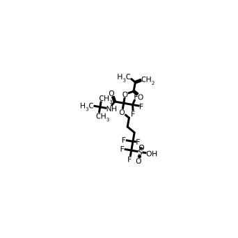 C=C(C)C(=O)OC(OCCCC(F)(F)C(F)(F)S(=O)(=O)O)(C(=O)NC(C)(C)C)C(F)(F)F